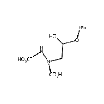 CC(C)(C)OC(O)CN(NC(=O)O)C(=O)O